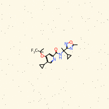 Cc1nc(C(C)(NC(=O)c2cc(O[C@H](C)C(F)(F)F)c(C3CC3)cn2)C2CC2)no1